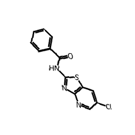 O=C(Nc1nc2ncc(Cl)cc2s1)c1ccccc1